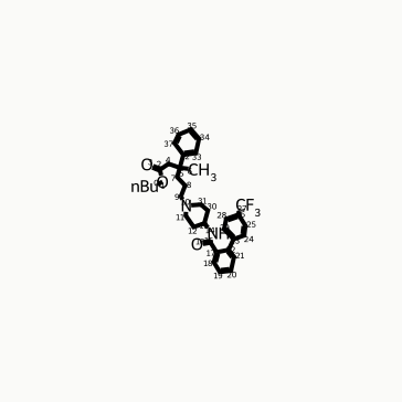 CCCCOC(=O)CC(C)(CCCN1CCC(NC(=O)c2ccccc2-c2ccc(C(F)(F)F)cc2)CC1)c1ccccc1